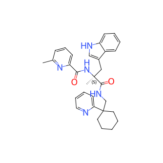 Cc1cccc(C(=O)N[C@@](C)(Cc2c[nH]c3ccccc23)C(=O)NCC2(c3ccccn3)CCCCC2)n1